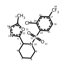 Cc1nnc(C2CCCCN2S(=O)(=O)c2ccc(C(F)(F)F)cc2Cl)o1